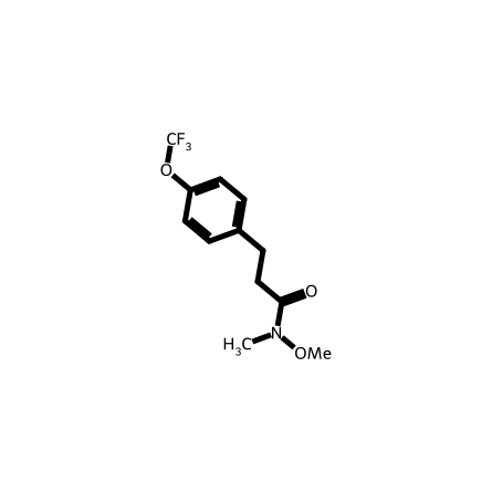 CON(C)C(=O)CCc1ccc(OC(F)(F)F)cc1